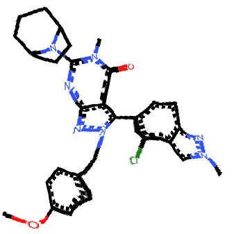 COc1ccc(Cn2nc3nc(N4C5CCCC4CC5)n(C)c(=O)c3c2-c2ccc3nn(C)cc3c2Cl)cc1